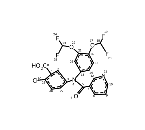 O=C(O)c1cc(N(C(=O)c2cccnc2)c2ccc(OC(F)F)c(OC(F)F)c2)ccc1Cl